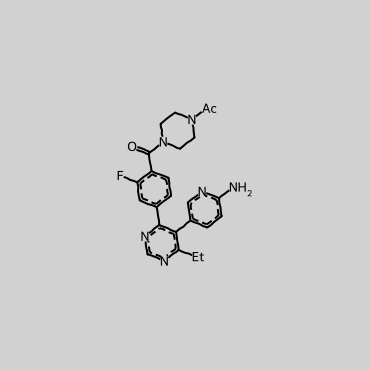 CCc1ncnc(-c2ccc(C(=O)N3CCN(C(C)=O)CC3)c(F)c2)c1-c1ccc(N)nc1